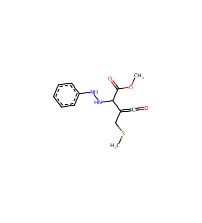 COC(=O)C(NNc1ccccc1)C(=C=O)CSC